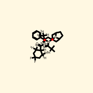 [2H]C([2H])([2H])c1nnc(C([2H])(C)C)n1C1CC2CCC(C1)N2CCC(NC(=O)C1([2H])C([2H])([2H])CC(F)(F)CC1([2H])[2H])c1ccccc1